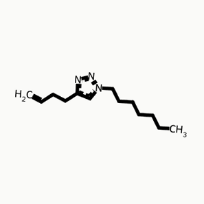 C=CCCc1cn(CCCCCCC)nn1